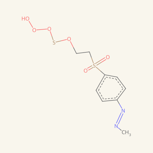 C/N=N/c1ccc(S(=O)(=O)CCOSOOO)cc1